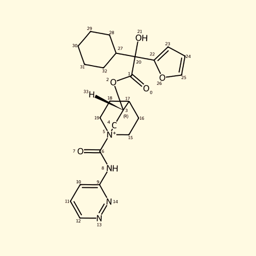 O=C(O[C@H]1C[N+]2(C(=O)Nc3cccnn3)CCC1CC2)C(O)(c1ccco1)C1CCCCC1